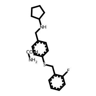 Fc1ccccc1CSc1ccc(CNC2CCCC2)cc1.NC(=O)O